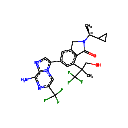 C[C@@H](C1CC1)N1Cc2cc(-c3cnc4c(N)nc(C(F)(F)F)cn34)cc(C(C)(CO)C(F)(F)F)c2C1=O